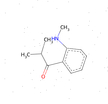 CNc1ccccc1C(=O)C(C)C